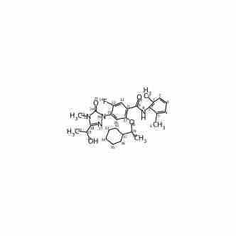 Cc1cccc(C)c1NC(=O)c1cc(F)c(-n2nc(C(C)O)n(C)c2=O)cc1OC(C)C1CCCCC1